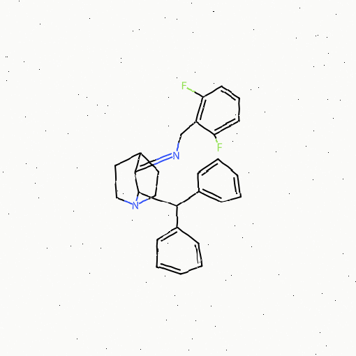 Fc1cccc(F)c1C/N=C1\C2CCN(CC2)C1C(c1ccccc1)c1ccccc1